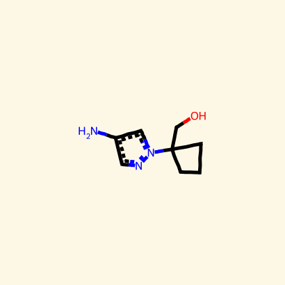 Nc1cnn(C2(CO)CCC2)c1